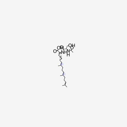 CC(=O)NC(CO)C(=O)N[C@@H](CSC/C=C(\C)CC/C=C(\C)CCC=C(C)C)C(=O)O